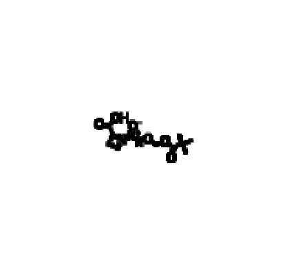 CC(C)(C)C(=O)OCON=[N+]([O-])N1CC[C@H]1C(=O)O